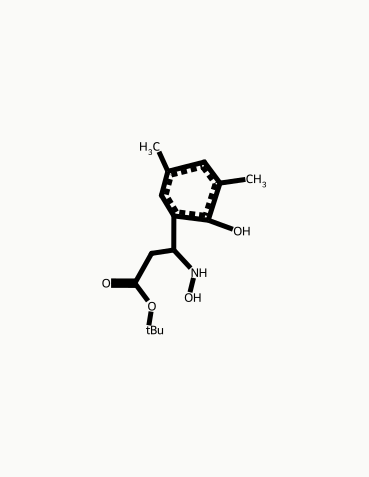 Cc1cc(C)c(O)c(C(CC(=O)OC(C)(C)C)NO)c1